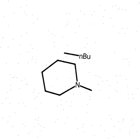 CCCCC.CN1CCCCC1